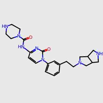 O=C(Nc1ccn(-c2cccc(CCN3CC4CNCC4C3)c2)c(=O)n1)N1CCNCC1